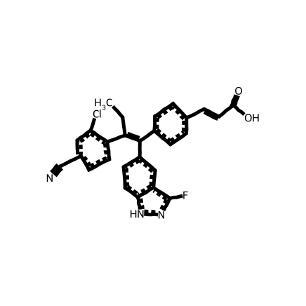 CCC(=C(c1ccc(C=CC(=O)O)cc1)c1ccc2[nH]nc(F)c2c1)c1ccc(C#N)cc1Cl